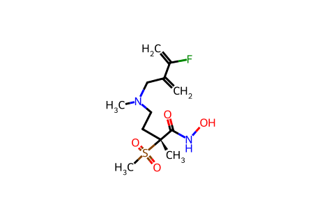 C=C(F)C(=C)CN(C)CC[C@](C)(C(=O)NO)S(C)(=O)=O